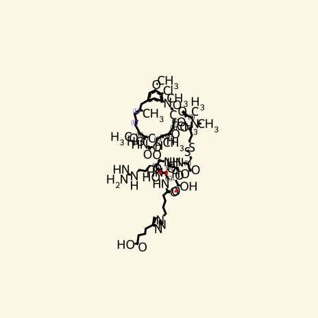 COc1cc2cc(c1Cl)N(C)C(=O)C[C@H](OC(=O)[C@H](C)N(C)C(=O)CCSSC[C@H](NC(=O)[C@H](CC(=O)O)NC(=O)[C@H](CCCNC(=N)N)NC(=O)[C@H](CC(=O)O)NC(=O)CCCCn1cc(CCCC(=O)O)nn1)C(=O)O)[C@@]1(C)O[C@H]1[C@H](C)[C@@H]1C[C@@](O)(NC(=O)O1)[C@H](OC)/C=C/C=C(\C)C2